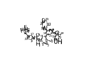 Cc1ccc(NC(=O)N2CC[C@@H](CC(F)(F)F)C2)cc1-c1cc(OC2(CO)CC2)nc(N2CCOCC2)c1